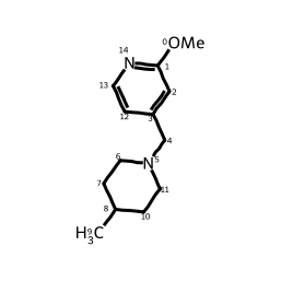 COc1cc(CN2CCC(C)CC2)ccn1